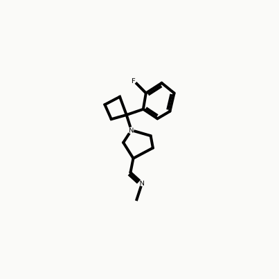 C/N=C/C1CCN(C2(c3ccccc3F)CCC2)C1